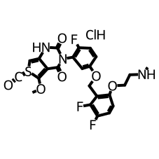 CNCCOc1ccc(F)c(F)c1COc1ccc(F)c(-n2c(=O)[nH]c3c(c2=O)=C(OC)S(=C=O)C=3)c1.Cl